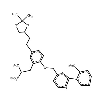 CCOC(=O)C(Cc1cc(CCC2COC(C)(C)O2)ccc1OCc1ccnc(-c2ccccc2OC)n1)OC(C)=O